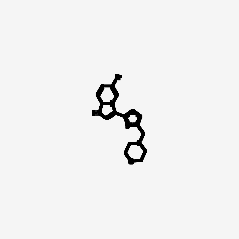 BrC1=CN2C(c3ccc(CN4CCOCC4)s3)=CNC2C=C1